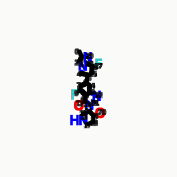 Cc1cn2cc(-c3cc(F)c4c(=O)n(C5CNCCC5=O)cnc4c3)cc(F)c2n1